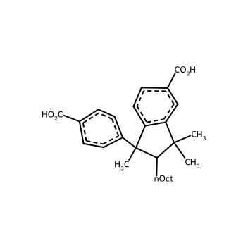 [CH2]CCCCCCCC1C(C)(C)c2cc(C(=O)O)ccc2C1(C)c1ccc(C(=O)O)cc1